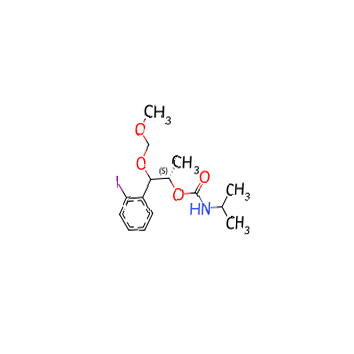 COCOC(c1ccccc1I)[C@H](C)OC(=O)NC(C)C